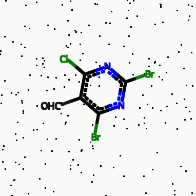 O=Cc1c(Cl)nc(Br)nc1Br